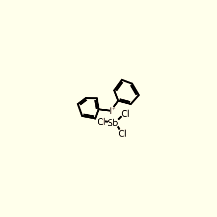 [Cl][Sb]([Cl])[Cl].c1ccc([I+]c2ccccc2)cc1